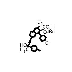 Cc1cc2ccc(C#CC(C)(O)c3ccc(F)cc3)cc2c(-c2ccc(Cl)cc2)c1C(OC(C)(C)C)C(=O)O